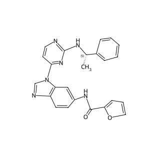 C[C@H](Nc1nccc(-n2cnc3ccc(NC(=O)c4ccco4)cc32)n1)c1ccccc1